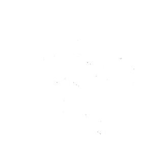 NC(=O)c1cccc(-n2c(=O)n(Cc3cccnc3)c(=O)c3cccnc32)c1